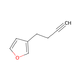 C#CCCc1ccoc1